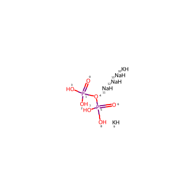 O=P(O)(O)OP(=O)(O)O.[KH].[KH].[NaH].[NaH].[NaH]